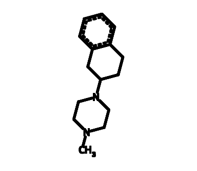 CN1CCN(C2CCc3ccccc3C2)CC1